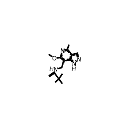 C=C(NCc1c(OC)nc(C)c2cn[nH]c12)C(C)(C)C